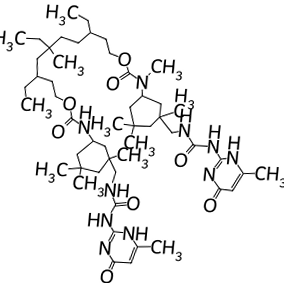 CCC(CCOC(=O)N(C)C1CC(C)(C)CC(C)(CNC(=O)Nc2nc(=O)cc(C)[nH]2)C1)CCC(C)(CC)CC(CC)CCOC(=O)NC1CC(C)(C)CC(C)(CNC(=O)Nc2nc(=O)cc(C)[nH]2)C1